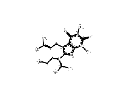 CC(C)=CCn1c(N(CCN)C(C)C)nc2c1c(=O)n(C)c(=O)n2C